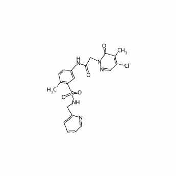 Cc1ccc(NC(=O)Cn2ncc(Cl)c(C)c2=O)cc1S(=O)(=O)NCc1ccccn1